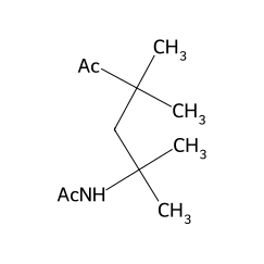 CC(=O)NC(C)(C)CC(C)(C)C(C)=O